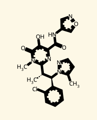 Cc1ccnn1[C@@H](c1ccccc1Cl)[C@H](C)c1nc(C(=O)Nc2cnoc2)c(O)c(=O)n1C